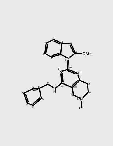 COc1cc2ccccc2n1-c1nc2c(c(NCc3ccccc3)n1)CN(C)CC2